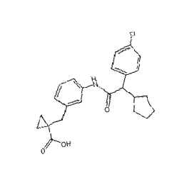 O=C(Nc1cccc(CC2(C(=O)O)CC2)c1)C(c1ccc(Cl)cc1)C1CCCC1